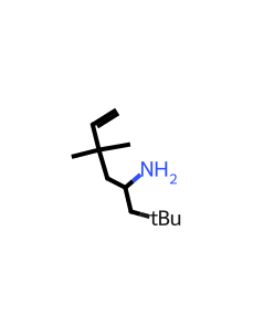 C=CC(C)(C)CC(N)CC(C)(C)C